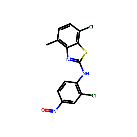 Cc1ccc(Cl)c2sc(Nc3ccc(N=O)cc3Cl)nc12